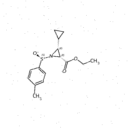 CCOC(=O)[C@H]1[C@@H](C2CC2)N1[S@+]([O-])c1ccc(C)cc1